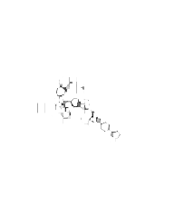 Cc1ccc(OC(C)(Cc2ccc(OCCc3nc(-c4ccc(-c5cccs5)cc4)oc3C)cc2)C(=O)O)cc1C